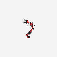 COc1cc(NC(=O)CCCN(C)C(=O)CCN2CCC(OC(=O)Nc3ccccc3-c3ccccc3)CC2)c(C)cc1CNC[C@H](O)c1ccc(O)c2[nH]c(=O)ccc12